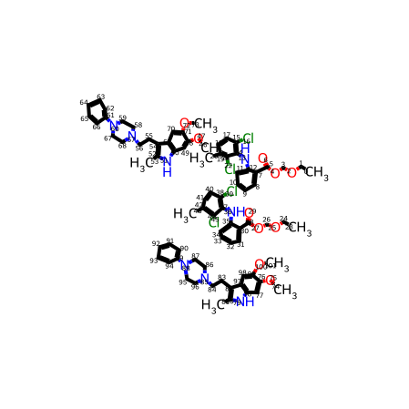 CCOCOC(=O)c1ccccc1Nc1c(Cl)ccc(C)c1Cl.CCOCOC(=O)c1ccccc1Nc1c(Cl)ccc(C)c1Cl.COc1cc2[nH]c(C)c(CCN3CCN(c4ccccc4)CC3)c2cc1OC.COc1cc2[nH]c(C)c(CCN3CCN(c4ccccc4)CC3)c2cc1OC